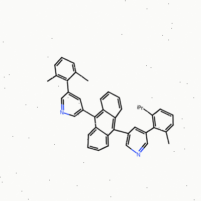 Cc1cccc(C)c1-c1cncc(-c2c3ccccc3c(-c3cncc(-c4c(C)cccc4C(C)C)c3)c3ccccc23)c1